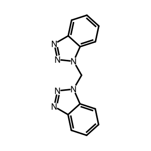 c1ccc2c(c1)nnn2Cn1nnc2ccccc21